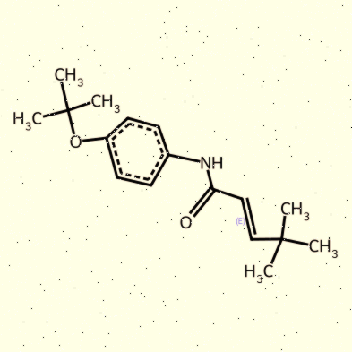 CC(C)(C)/C=C/C(=O)Nc1ccc(OC(C)(C)C)cc1